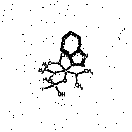 CN(C)P(OP(=O)(O)F)(N(C)C)(N(C)C)n1nnc2ccccc21